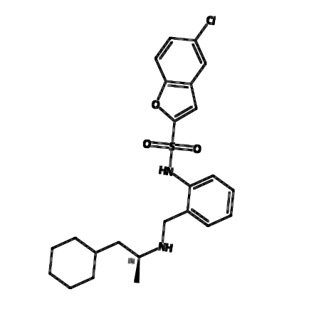 C[C@@H](CC1CCCCC1)NCc1ccccc1NS(=O)(=O)c1cc2cc(Cl)ccc2o1